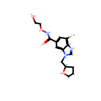 O=C(NOCCO)c1cc(F)c2ncn(CC3CCCO3)c2c1